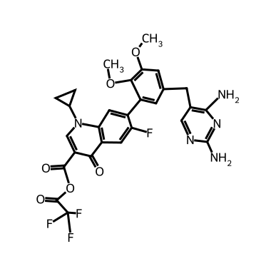 COc1cc(Cc2cnc(N)nc2N)cc(-c2cc3c(cc2F)c(=O)c(C(=O)OC(=O)C(F)(F)F)cn3C2CC2)c1OC